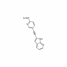 CC(=O)Nc1ccc(C#Cc2cc3cccnc3[nH]2)cn1